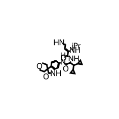 CC(C)N/C(=C\C=N)C(=O)N[C@H](C(=O)Nc1ccc2c(c1)NC(=O)C21CCOCC1)C(C1CC1)C1CC1